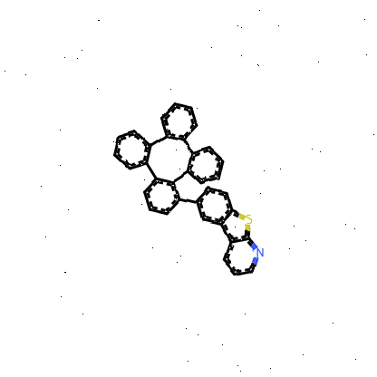 c1ccc2c(c1)-c1ccccc1-c1cccc(-c3ccc4sc5ncccc5c4c3)c1-c1ccccc1-2